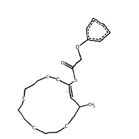 CC1/C=C(\OC(=O)COc2ccccc2)CCCCCCCCCCCC1